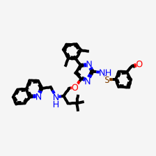 Cc1cccc(C)c1-c1cc(OCC(CC(C)(C)C)NCc2ccc3ccccc3n2)nc(NSc2cccc(C=O)c2)n1